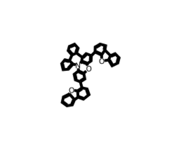 c1ccc2c(c1)-c1ccccc1N1c3ccc(-c4cccc5c4oc4ccccc45)cc3Oc3cc(-c4cccc5c4oc4ccccc45)cc-2c31